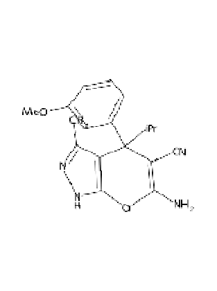 COc1cccc(C2(C(C)C)C(C#N)=C(N)Oc3[nH]nc(C)c32)c1